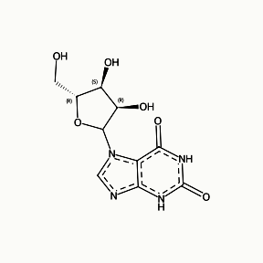 O=c1[nH]c(=O)c2c(ncn2C2O[C@H](CO)[C@@H](O)[C@H]2O)[nH]1